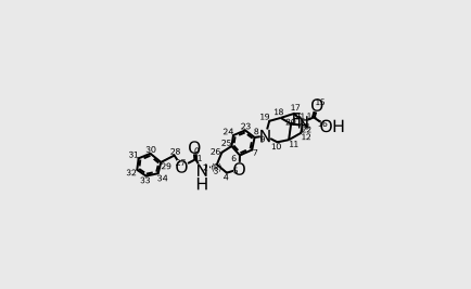 O=C(N[C@H]1COc2cc(N3CC4CN(C(=O)O)CC(C3)C4(F)F)ccc2C1)OCc1ccccc1